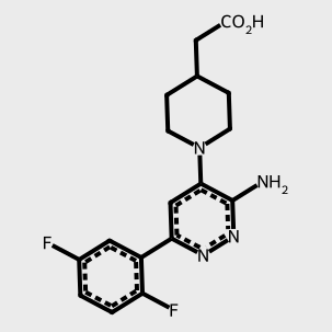 Nc1nnc(-c2cc(F)ccc2F)cc1N1CCC(CC(=O)O)CC1